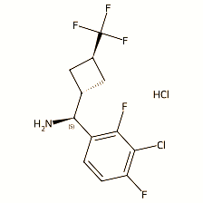 Cl.N[C@H](c1ccc(F)c(Cl)c1F)[C@H]1C[C@H](C(F)(F)F)C1